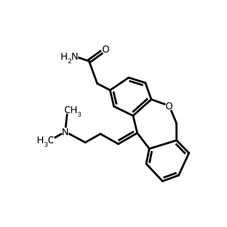 CN(C)CCC=C1c2ccccc2COc2ccc(CC(N)=O)cc21